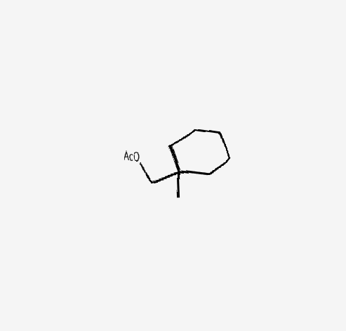 CC(=O)OCC1(C)CCCCC1